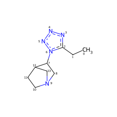 CCc1nnnn1C1CN2CCC1C2